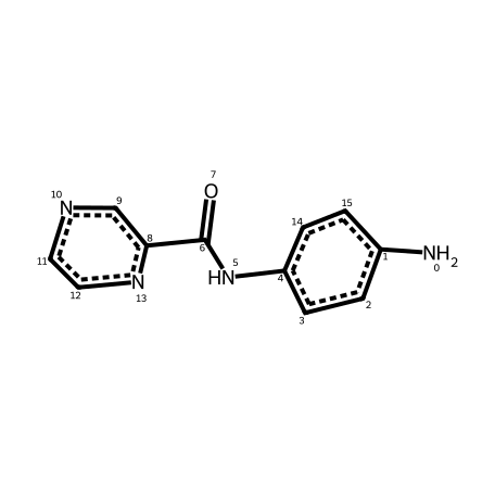 Nc1ccc(NC(=O)c2cnccn2)cc1